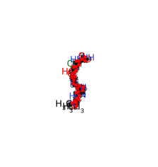 CCC1(C(=O)NC(C)C)CCN(c2ccc(-c3cc(-c4cnn(C5CCN(C(=O)CC6(O)CCN(c7ccc(N[C@H]8CCC(=O)NC8=O)cc7Cl)CC6)CC5)c4)cn4ncc(C#N)c34)cn2)CC1